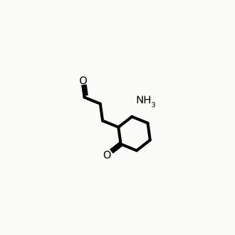 N.O=CCCC1CCCCC1=O